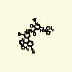 Cn1ccnc1-c1cc(C#N)ccc1-c1cc(NC(=O)c2cc(CNC3(C)CCC3)cn(C3CC3)c2=O)nc(C2CC2)c1